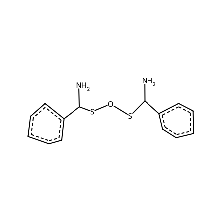 NC(SOSC(N)c1ccccc1)c1ccccc1